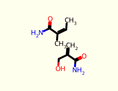 C=C(CO)C(N)=O.CC=C(C)C(N)=O